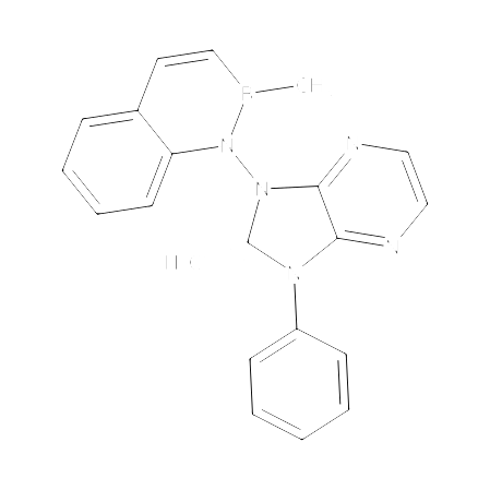 CB1C=Cc2ccccc2N1N1c2nccnc2N(c2ccccc2)[C@@H]1C